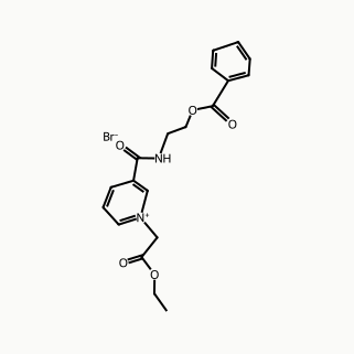 CCOC(=O)C[n+]1cccc(C(=O)NCCOC(=O)c2ccccc2)c1.[Br-]